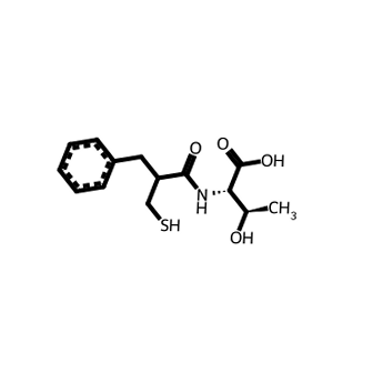 C[C@@H](O)[C@H](NC(=O)C(CS)Cc1ccccc1)C(=O)O